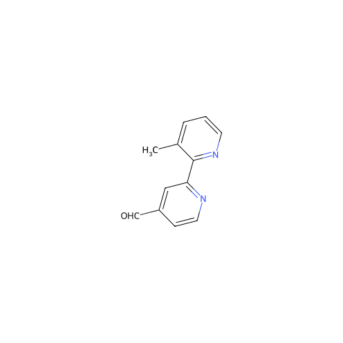 Cc1cccnc1-c1cc(C=O)ccn1